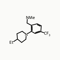 CCC1CCN(c2cc(C(F)(F)F)ccc2CNC)CC1